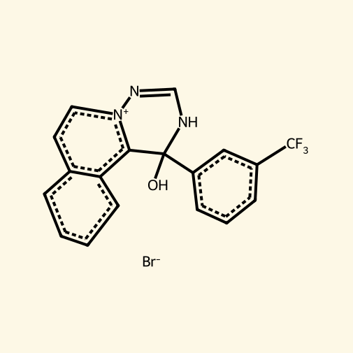 OC1(c2cccc(C(F)(F)F)c2)NC=N[n+]2ccc3ccccc3c21.[Br-]